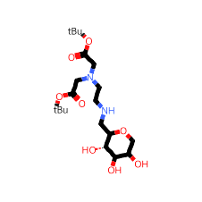 CC(C)(C)OC(=O)CN(CCNCC1OCC(O)C(O)[C@@H]1O)CC(=O)OC(C)(C)C